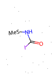 CSNC(=O)I